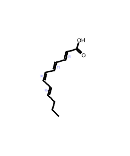 CCC/C=C/C=C\C=C\C=C\C(=O)O